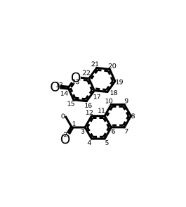 CC(=O)c1ccc2ccccc2c1.O=c1ccc2ccccc2o1